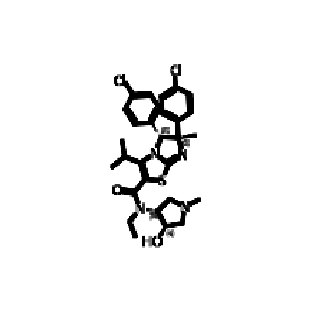 CCN(C(=O)C1=C(C(C)C)N2C(=N[C@@](C)(c3ccc(Cl)cc3)[C@H]2c2ccc(Cl)cc2)S1)[C@@H]1CN(C)C[C@H]1O